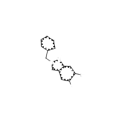 Fc1cc2cn(Cc3ccccc3)nc2cc1Br